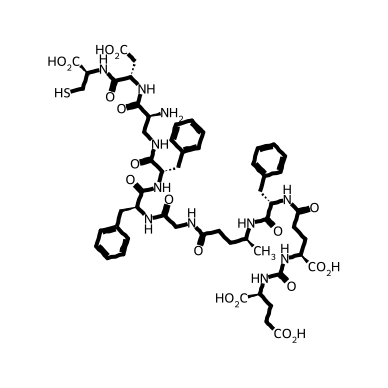 C[C@@H](CCC(=O)NCC(=O)N[C@@H](Cc1ccccc1)C(=O)N[C@@H](Cc1ccccc1)C(=O)NC[C@H](N)C(=O)N[C@@H](CC(=O)O)C(=O)N[C@@H](CS)C(=O)O)NC(=O)[C@H](Cc1ccccc1)NC(=O)CC[C@H](NC(=O)N[C@@H](CCC(=O)O)C(=O)O)C(=O)O